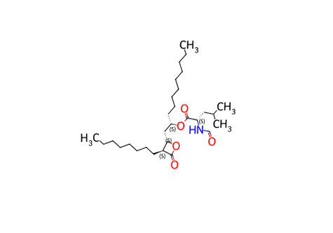 CCCCCCCCC[C@@H](C[C@@H]1OC(=O)[C@H]1CCCCCCCC)OC(=O)[C@H](CC(C)C)NC=O